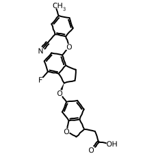 Cc1ccc(Oc2ccc(F)c3c2CC[C@H]3Oc2ccc3c(c2)OCC3CC(=O)O)c(C#N)c1